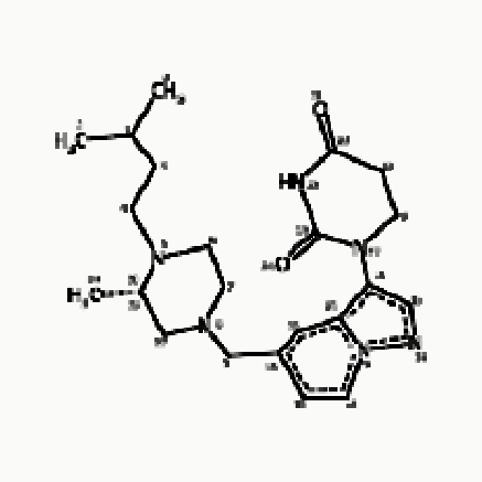 CC(C)CCN1CCN(Cc2ccn3ncc(N4CCC(=O)NC4=O)c3c2)C[C@@H]1C